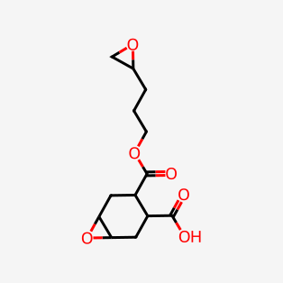 O=C(O)C1CC2OC2CC1C(=O)OCCCC1CO1